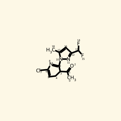 CC(=O)C1CC=C(Cl)N=C1n1nc(C(F)F)cc1C